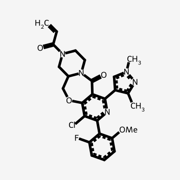 C=CC(=O)N1CCN2C(=O)c3c(-c4cn(C)nc4C)nc(-c4c(F)cccc4OC)c(Cl)c3OCC2C1